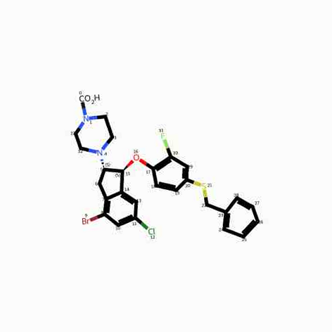 O=C(O)N1CCN([C@H]2Cc3c(Br)cc(Cl)cc3[C@@H]2Oc2ccc(SCc3ccccc3)cc2F)CC1